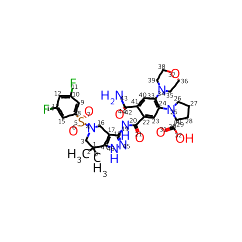 CC1(C)CN(S(=O)(=O)c2cc(F)cc(F)c2)Cc2c(NC(=O)c3cc(N4CCC[C@@H]4C(=O)O)c(N4CCOCC4)cc3C(N)=O)n[nH]c21